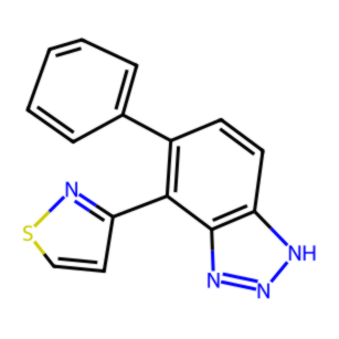 c1ccc(-c2ccc3[nH]nnc3c2-c2ccsn2)cc1